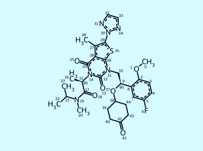 COc1ccc(F)cc1[C@H](Cn1c(=O)n([C@H](C)C(=O)N(C)C(C)C)c(=O)c2c(C)c(-n3nccn3)sc21)OC1CCC(=O)CC1